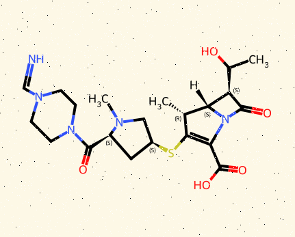 CC(O)[C@H]1C(=O)N2C(C(=O)O)=C(S[C@H]3C[C@@H](C(=O)N4CCN(C=N)CC4)N(C)C3)[C@H](C)[C@H]12